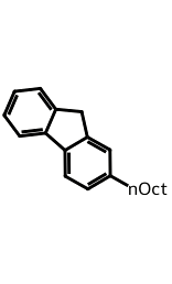 [CH2]CCCCCCCc1ccc2c(c1)Cc1ccccc1-2